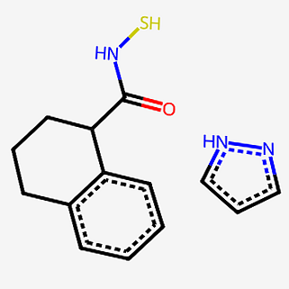 O=C(NS)C1CCCc2ccccc21.c1cn[nH]c1